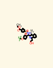 CCOC(=O)c1ccc(S(=O)(=O)NC(c2ccc(OC(F)(F)F)cc2)c2nc(CCO)c3ccccc3c2C)cc1